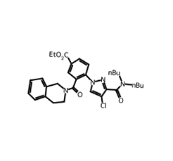 CCCCN(CCCC)C(=O)c1nn(-c2ccc(C(=O)OCC)cc2C(=O)N2CCc3ccccc3C2)cc1Cl